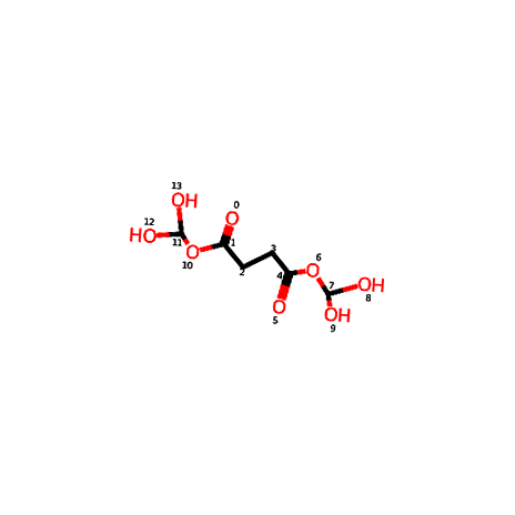 O=C(CCC(=O)OC(O)O)OC(O)O